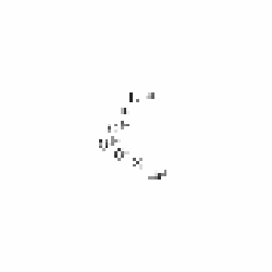 [La+3].[La+3].[O-2].[O-2].[O-2].[P].[P]